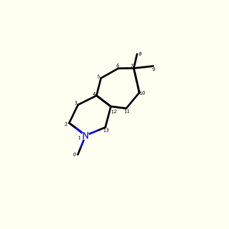 CN1CCC2CCC(C)(C)CCC2C1